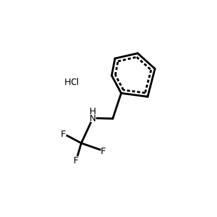 Cl.FC(F)(F)NCc1ccccc1